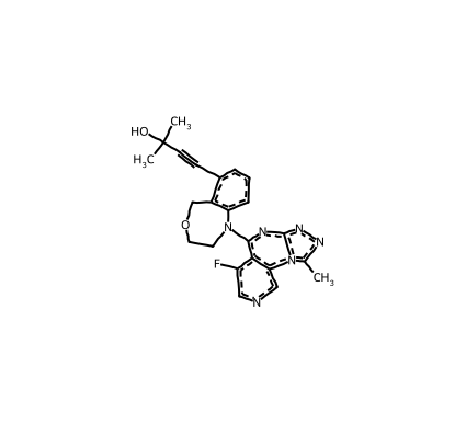 Cc1nnc2nc(N3CCOCc4c(C#CC(C)(C)O)cccc43)c3c(F)cncc3n12